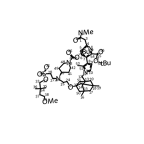 CNC(=O)Cc1ccc(-c2ccn(CC34CC5(C)CC(C)(C3)CC(OCCN(CCS(=O)(=O)OCC(C)(C)CCOC)C3CCN(C(=O)OC(C)(C)C)CC3)(C5)C4)c2C)c(C(=O)OC(C)(C)C)n1